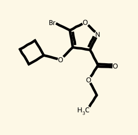 CCOC(=O)c1noc(Br)c1OC1CCC1